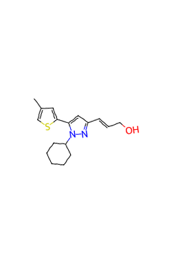 Cc1csc(-c2cc(C=CCO)nn2C2CCCCC2)c1